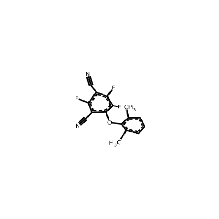 Cc1cccc(C)c1Oc1c(F)c(F)c(C#N)c(F)c1C#N